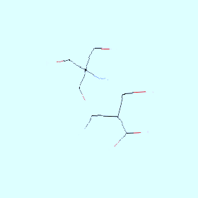 CCC(CO)C(O)O.NC(CO)(CO)CO